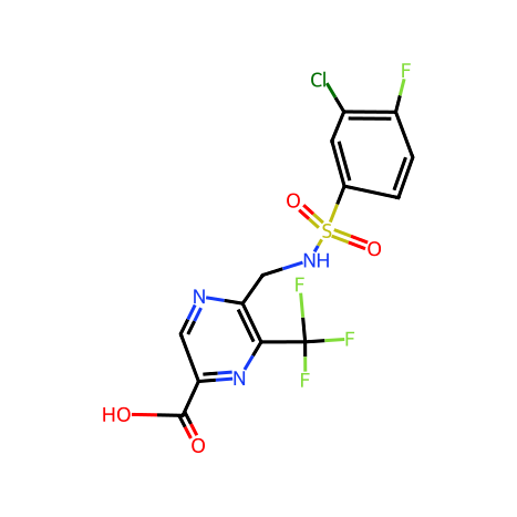 O=C(O)c1cnc(CNS(=O)(=O)c2ccc(F)c(Cl)c2)c(C(F)(F)F)n1